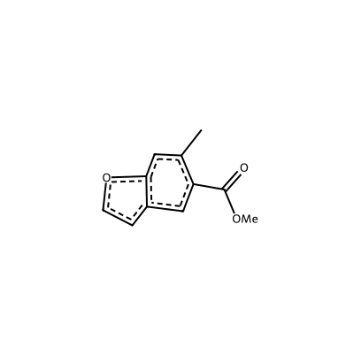 COC(=O)c1cc2ccoc2cc1C